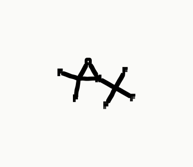 FC(F)(F)N1OC1(F)F